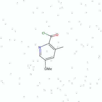 COc1cnc(C(=O)Cl)c(C)c1